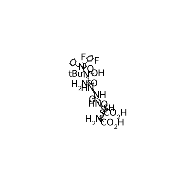 CC(C)(C)C(c1cc(-c2cc(F)ccc2F)cn1Cc1ccccc1)N(CC[C@H](N)C(=O)NCCNC(=O)CNC(=O)C[C@](S)(SC[C@H](N)C(=O)O)C(=O)O)C(=O)CO